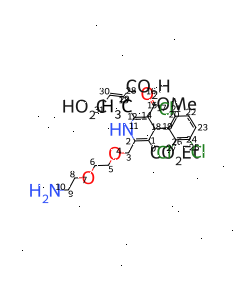 CCOC(=O)C1=C(COCCOCCN)NC(C)=C(C(=O)OC)[C@H]1c1c(Cl)ccc(Cl)c1Cl.O=C(O)C=CC(=O)O